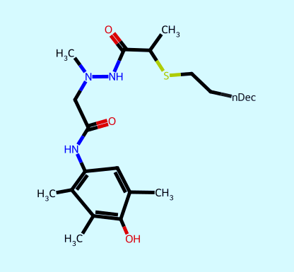 CCCCCCCCCCCCSC(C)C(=O)NN(C)CC(=O)Nc1cc(C)c(O)c(C)c1C